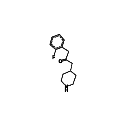 O=C(Cc1ccccc1F)CC1CCNCC1